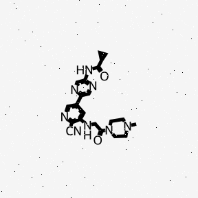 CN1CCN(C(=O)CNc2cc(-c3cnc(NC(=O)C4CC4)cn3)cnc2C#N)CC1